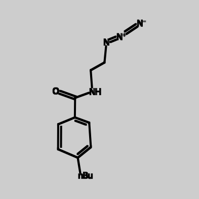 CCCCc1ccc(C(=O)NCCN=[N+]=[N-])cc1